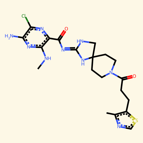 CNc1nc(N)c(Cl)nc1C(=O)/N=C1\NCC2(CCN(C(=O)CCc3scnc3C)CC2)N1